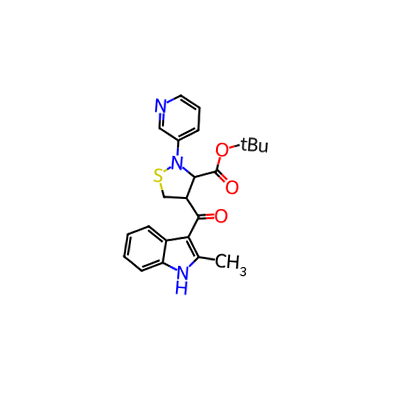 Cc1[nH]c2ccccc2c1C(=O)C1CSN(c2cccnc2)C1C(=O)OC(C)(C)C